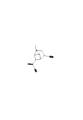 C=C(C#N)C1C2C(C#N)CC3(C)C1C23